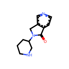 O=C1c2ccncc2CN1C1CCCNC1